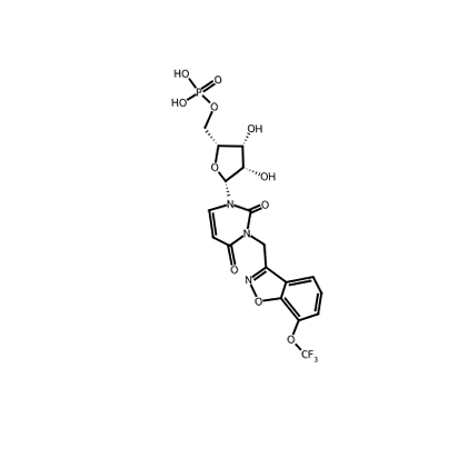 O=c1ccn([C@@H]2O[C@H](COP(=O)(O)O)[C@H](O)[C@@H]2O)c(=O)n1Cc1noc2c(OC(F)(F)F)cccc12